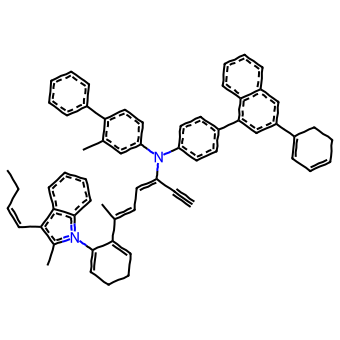 C#C/C(=C\C=C(/C)C1=CCCC=C1n1c(C)c(/C=C\CC)c2ccccc21)N(c1ccc(-c2cc(C3=CC=CCC3)cc3ccccc23)cc1)c1ccc(-c2ccccc2)c(C)c1